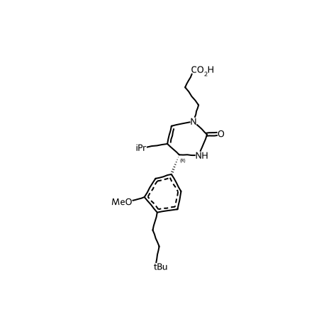 COc1cc([C@H]2NC(=O)N(CCC(=O)O)C=C2C(C)C)ccc1CCC(C)(C)C